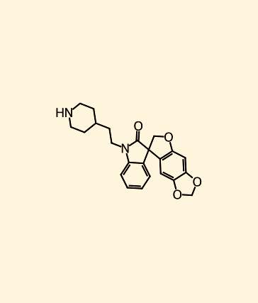 O=C1N(CCC2CCNCC2)c2ccccc2C12COc1cc3c(cc12)OCO3